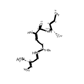 CCCC(=CC[C@H](NC[C@@H](N)CS)[C@@H](C)CC)C(=O)N[C@H](CCO)C(=O)O